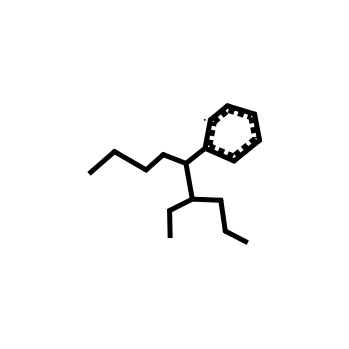 CCCCC(c1[c]cccc1)C(CC)CCC